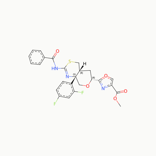 COC(=O)c1coc([C@H]2C[C@H]3CSC(NC(=O)c4ccccc4)=N[C@@]3(c3ccc(F)cc3F)CO2)n1